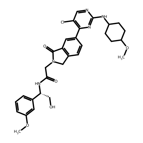 COc1cccc([C@@H](CO)NC(=O)CN2Cc3ccc(-c4nc(NC5CCC(OC)CC5)ncc4Cl)cc3C2=O)c1